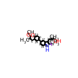 COC(=O)[C@@H](C)Cc1cccc(-c2ccc3[nH]c(I)c(CC(C)(C)CO)c3c2)c1